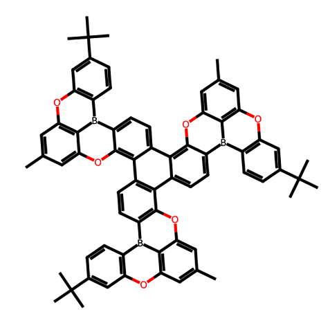 Cc1cc2c3c(c1)Oc1c(ccc4c1c1ccc5c(c1c1ccc6c(c41)Oc1cc(C)cc4c1B6c1ccc(C(C)(C)C)cc1O4)Oc1cc(C)cc4c1B5c1ccc(C(C)(C)C)cc1O4)B3c1ccc(C(C)(C)C)cc1O2